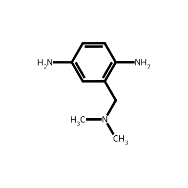 CN(C)Cc1cc(N)ccc1N